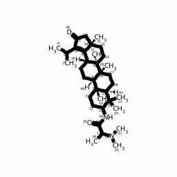 CC(C)C1=C2[C@H]3CC[C@@H]4[C@@]5(C)CCC(NC(=O)C(C)N(C)C)C(C)(C)[C@@H]5CC[C@@]4(C)[C@]3(C)CC[C@@]2(C)CC1=O